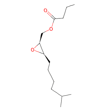 CCCC(=O)OC[C@@H]1O[C@@H]1CCCCC(C)C